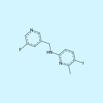 Cc1nc(NCc2cncc(F)c2)ccc1I